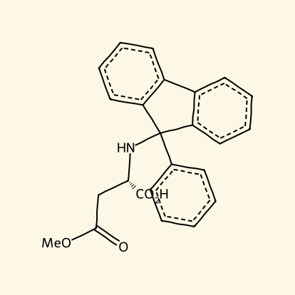 COC(=O)C[C@H](NC1(c2ccccc2)c2ccccc2-c2ccccc21)C(=O)O